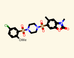 COc1ccc(Cl)cc1S(=O)(=O)N1CCN(S(=O)(=O)c2cc3oc(=O)n(C)c3cc2C)CC1